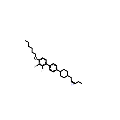 CC/C=C\CC1CCC(c2ccc(-c3ccc(OCCCCCC)c(F)c3F)cc2)CC1